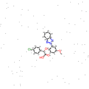 COc1ccc(OC(C(=O)O)c2ccc(Cl)cc2)c(-n2nc3ccccc3n2)c1